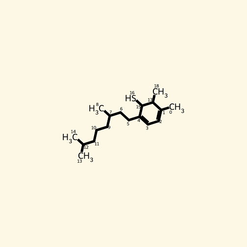 CC1=CC=C(CCC(C)CCCC(C)C)C(S)C1C